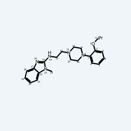 CC(C)Oc1ccccc1N1CCN(CCNc2nc3ccccc3n2C)CC1